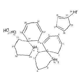 C1=CCC2(C=C1)CCCC[SiH2]2.C1=CCC2(C=C1)CCCC[SiH2]2.Cl.Cl.[Hf][C]1=CC=CC1